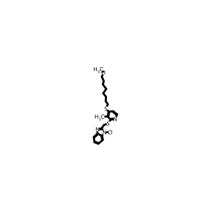 COCCCCCCCCSc1ccnc(SCc2nc3ccccc3n2Cl)c1C